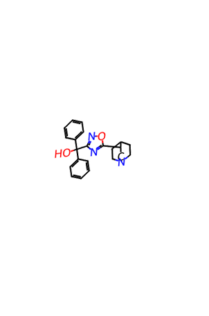 OC(c1ccccc1)(c1ccccc1)c1noc(C2CN3CCC2CC3)n1